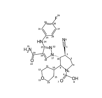 N#C[C@H]1CCN(C(=O)O)C(C2CCOCC2)[C@@H]1n1cc(C(N)=O)c(Nc2ccc(F)cc2)n1